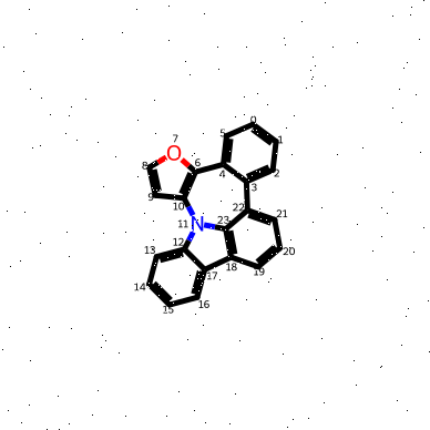 c1ccc2c(c1)-c1occc1-n1c3ccccc3c3cccc-2c31